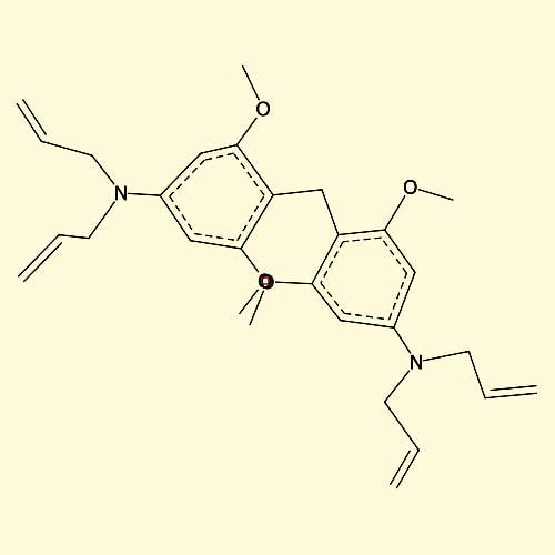 C=CCN(CC=C)c1cc(OC)c(Cc2c(OC)cc(N(CC=C)CC=C)cc2OC)c(OC)c1